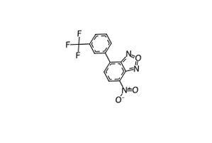 O=[N+]([O-])c1ccc(-c2cccc(C(F)(F)F)c2)c2nonc12